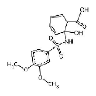 COc1ccc(S(=O)(=O)NC2(O)C=CC=CC2C(=O)O)cc1OC